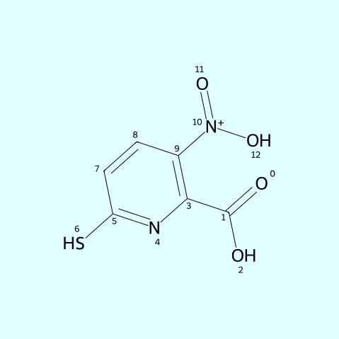 O=C(O)c1nc(S)ccc1[N+](=O)O